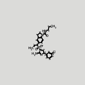 C=CC(c1ccc2c(c1)CCN2C(=O)NCCC)S(=O)(=O)N1CC(c2cccc(Cl)c2)N=C1N